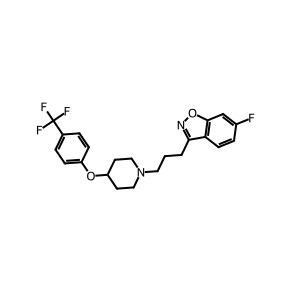 Fc1ccc2c(CCCN3CCC(Oc4ccc(C(F)(F)F)cc4)CC3)noc2c1